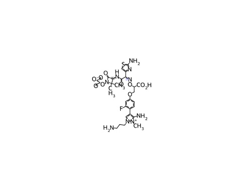 C[n+]1c(N)c(-c2ccc(OCC(O/N=C(\C(=O)N[C@@H]3C(=O)N(OS(=O)(=O)[O-])C3(C)C)c3csc(N)n3)C(=O)O)cc2F)cn1CCCN